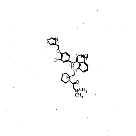 CN(C)CC(=O)N1CCCC[C@H]1COc1cccc2ncnc(Nc3ccc(OCc4cscn4)c(Cl)c3)c12.Cl